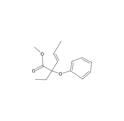 CC=CC(CC)(Oc1ccccc1)C(=O)OC